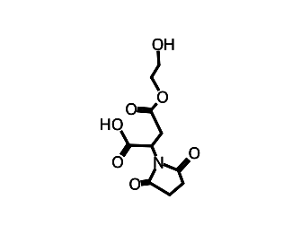 O=C(CC(C(=O)O)N1C(=O)CCC1=O)OCCO